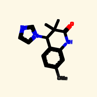 COc1ccc2c(c1)NC(=O)C(C)(C)C2n1ccnc1